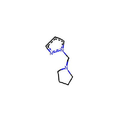 c1cnn(CN2CCCC2)c1